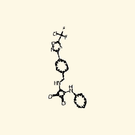 O=c1c(NCc2ccc(-c3noc(C(F)(F)Cl)n3)cc2)c(Nc2ccccc2)c1=O